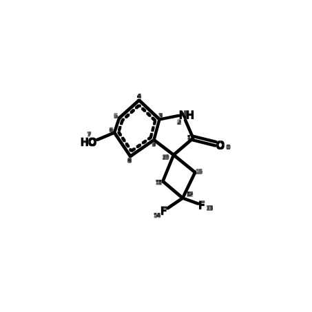 O=C1Nc2ccc(O)cc2C12CC(F)(F)C2